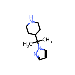 CC(C)(C1CCNCC1)n1cccn1